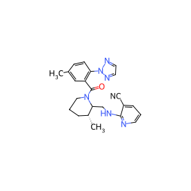 Cc1ccc(-n2nccn2)c(C(=O)N2CCC[C@@H](C)C2CNc2ncccc2C#N)c1